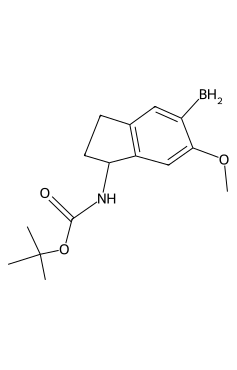 Bc1cc2c(cc1OC)C(NC(=O)OC(C)(C)C)CC2